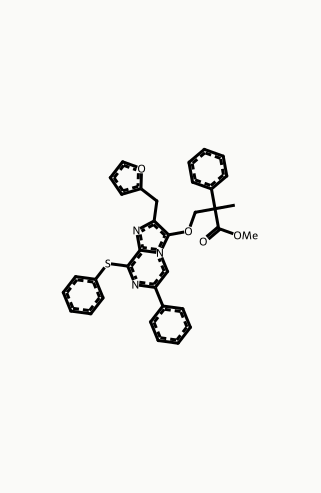 COC(=O)C(C)(COc1c(Cc2ccco2)nc2c(Sc3ccccc3)nc(-c3ccccc3)cn12)c1ccccc1